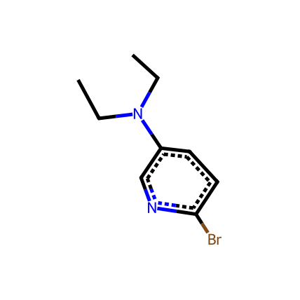 CCN(CC)c1ccc(Br)nc1